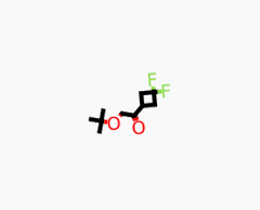 CC(C)(C)OCC(=O)C1CC(F)(F)C1